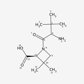 CC(C)(C)C(N)C(=O)N1CC(C)(C)[C@H]1C(=O)O